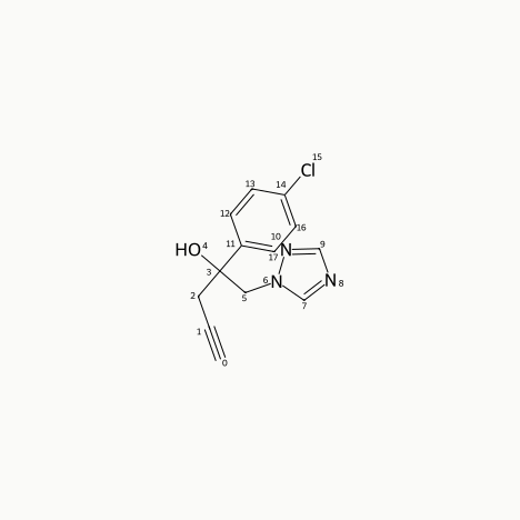 C#CCC(O)(Cn1cncn1)c1ccc(Cl)cc1